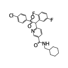 O=C(NCC1CCCCC1)c1ccc(C(c2cc(F)ccc2F)S(=O)(=O)c2ccc(Cl)cc2)nc1